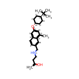 C=C(O)CCNCc1ccc2cc(O[C@H]3CC[C@H](C(C)(C)C)CC3)cc(C)c2c1